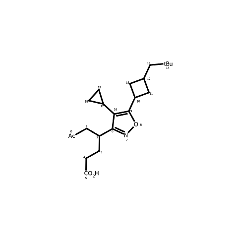 CC(=O)CC(CCC(=O)O)c1noc(C2CC(CC(C)(C)C)C2)c1C1CC1